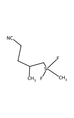 CC(CCC#N)C[Si](C)(F)F